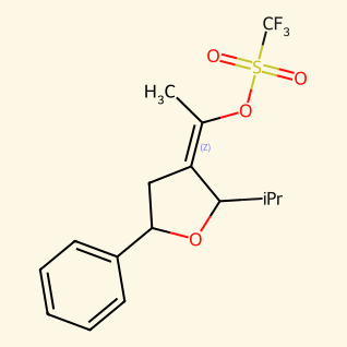 C/C(OS(=O)(=O)C(F)(F)F)=C1\CC(c2ccccc2)OC1C(C)C